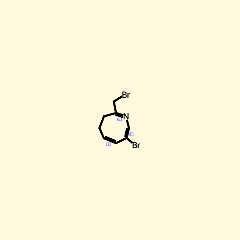 BrC/C1=N/C=C(Br)\C=C/CC1